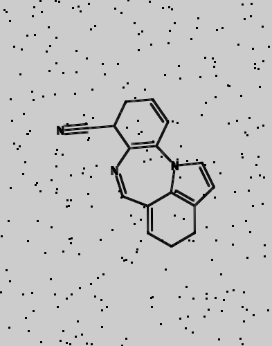 N#CC1CC=CC2=C1N=CC1=CCCc3ccn2c31